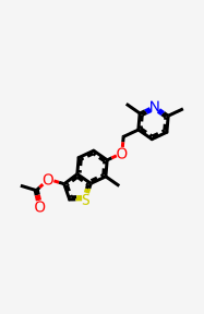 CC(=O)Oc1csc2c(C)c(OCc3ccc(C)nc3C)ccc12